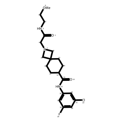 COCCNC(=O)CN1CC2(CCC(C(=O)Nc3cc(F)cc(Cl)c3)CC2)C1